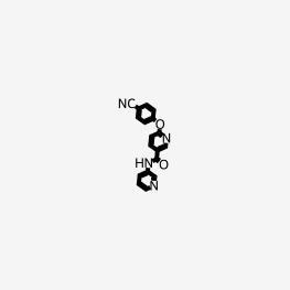 N#Cc1ccc(Oc2ccc(C(=O)Nc3cccnc3)cn2)cc1